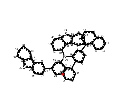 c1ccc(-c2ccc(-c3cccc4ccccc34)cc2N(c2cccc(-c3ccc4sc5ccccc5c4c3)c2)c2cccc3sc4ccccc4c23)cc1